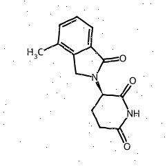 Cc1cccc2c1CN([C@@H]1CCC(=O)NC1=O)C2=O